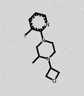 CC1CN(c2ncccc2I)CCN1C1COC1